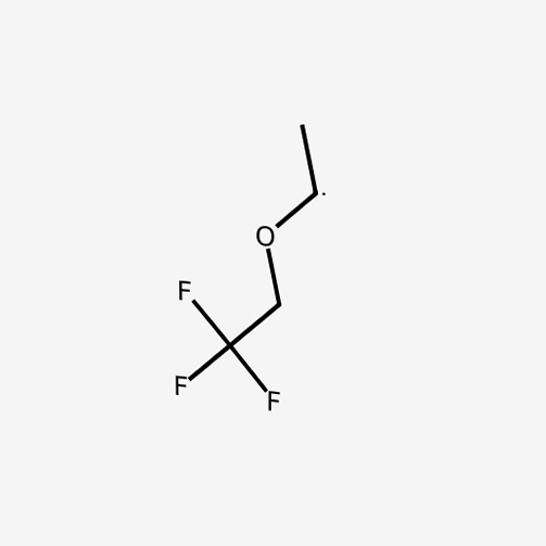 C[CH]OCC(F)(F)F